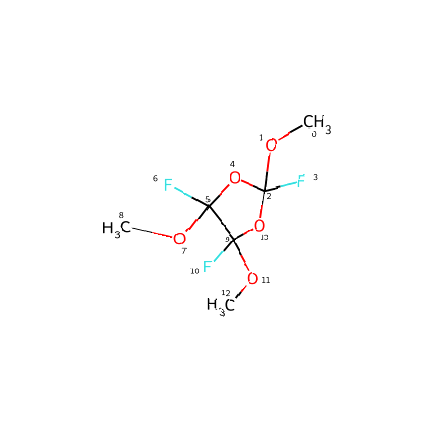 COC1(F)OC(F)(OC)C(F)(OC)O1